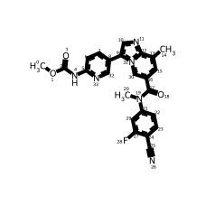 COC(=O)Nc1ccc(-c2cnc3c(C)cc(C(=O)N(C)c4ccc(C#N)c(F)c4)cn23)cn1